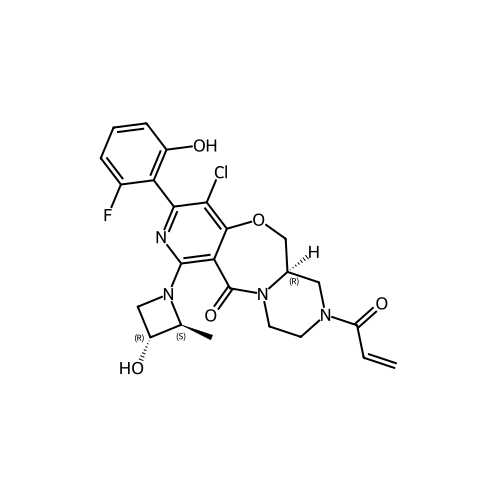 C=CC(=O)N1CCN2C(=O)c3c(N4C[C@@H](O)[C@@H]4C)nc(-c4c(O)cccc4F)c(Cl)c3OC[C@H]2C1